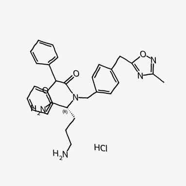 Cc1noc(Cc2ccc(CN(C(=O)C(c3ccccc3)c3ccccc3)[C@H](CCCN)C(N)=O)cc2)n1.Cl